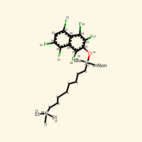 CCCCCCCCC[Si](CCCCCCCC[Si](C)(CC)CC)(Oc1c(F)c(F)c2c(F)[c]c(F)c(F)c2c1F)C(C)(C)C